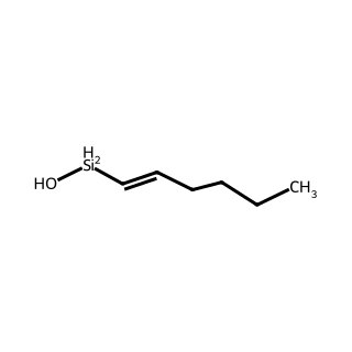 CCCCC=C[SiH2]O